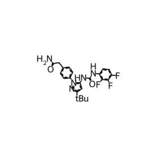 CC(C)(C)c1cc(NC(=O)Nc2ccc(F)c(F)c2F)n(-c2ccc(CC(N)=O)cc2)n1